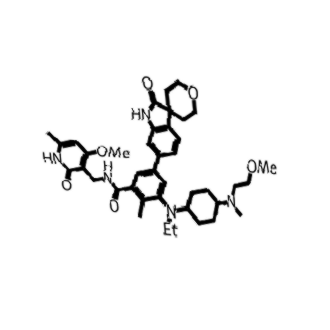 CCN(c1cc(-c2ccc3c(c2)NC(=O)C32CCOCC2)cc(C(=O)NCc2c(OC)cc(C)[nH]c2=O)c1C)C1CCC(N(C)CCOC)CC1